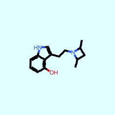 CC1CC(C)N1CCc1c[nH]c2cccc(O)c12